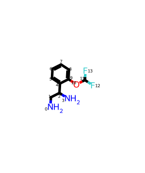 NCC(N)c1ccccc1OC(F)F